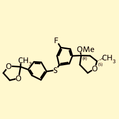 CO[C@]1(c2cc(F)cc(Sc3ccc(C4(C)OCCO4)cc3)c2)CCO[C@@H](C)C1